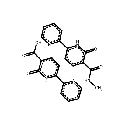 CNC(=O)c1ccc(-c2ccccn2)[nH]c1=O.O=C(O)c1ccc(-c2ccccn2)[nH]c1=O